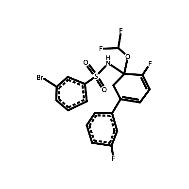 O=S(=O)(NC1(OC(F)F)CC(c2cccc(F)c2)=CC=C1F)c1cccc(Br)c1